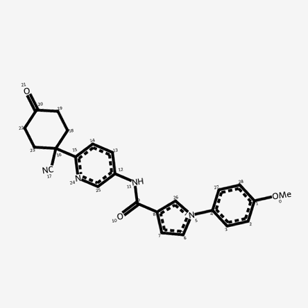 COc1ccc(-n2ccc(C(=O)Nc3ccc(C4(C#N)CCC(=O)CC4)nc3)c2)cc1